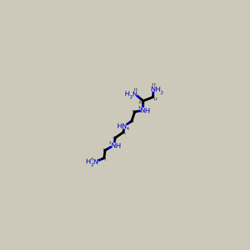 NCCNCCNCCNC(N)CN